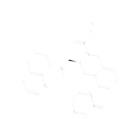 CN1CCN(c2cccc3c2C[C@@H](CN(C)[C@H]2CCCc4cccnc42)N(C(=O)OC(C)(C)C)C3)C(=O)C1